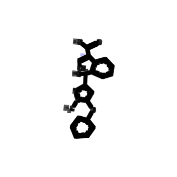 C/C=C(/C(=O)O)c1ccccc1C(O)c1cc(Oc2ccccc2)n(C)n1